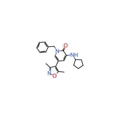 Cc1noc(C)c1-c1cc(NC2CCCC2)c(=O)n(Cc2ccccc2)c1